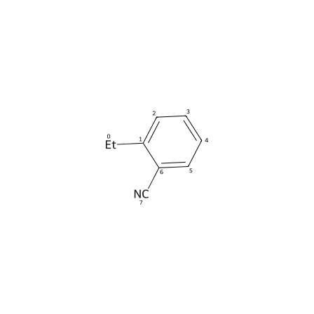 [CH2]Cc1ccccc1C#N